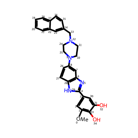 COc1cc(-c2nc3cc(N4CCN(Cc5ccc6ccccc6c5)CC4)ccc3[nH]2)cc(O)c1O